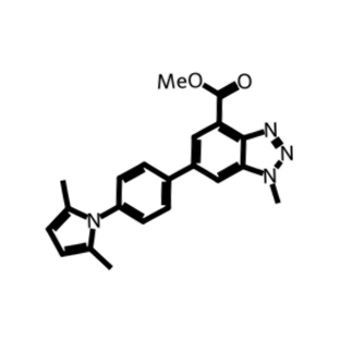 COC(=O)c1cc(-c2ccc(-n3c(C)ccc3C)cc2)cc2c1nnn2C